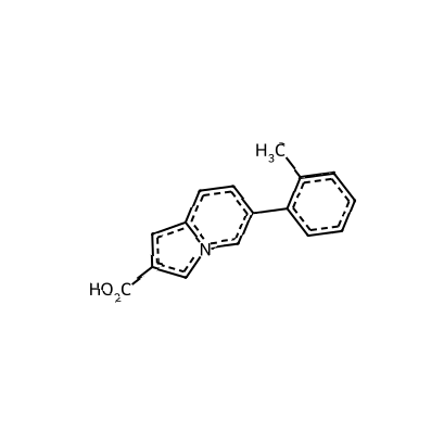 Cc1ccccc1-c1ccc2cc(C(=O)O)cn2c1